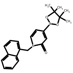 CC1(C)OB(c2ccn(Cc3cccc4ccccc34)c(=O)c2)OC1(C)C